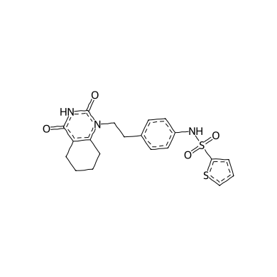 O=c1[nH]c(=O)n(CCc2ccc(NS(=O)(=O)c3cccs3)cc2)c2c1CCCC2